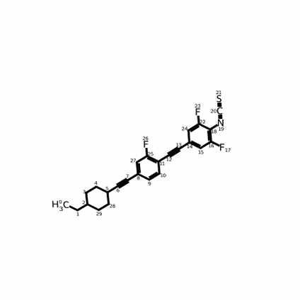 CCC1CCC(C#Cc2ccc(C#Cc3cc(F)c(N=C=S)c(F)c3)c(F)c2)CC1